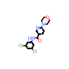 O=C(Nc1cc(Cl)cc(Cl)c1)c1ccc(N2CCOCC2)nc1